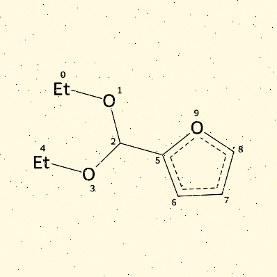 CCOC(OCC)c1cc[c]o1